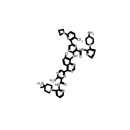 CC1(N)CCN(c2cccnc2NC(=O)c2nc(-c3ncnc4c(Nc5ncc(-c6nc(N7CCC7)ccc6C(F)(F)F)nc5C(=O)Nc5ncccc5N5CCC(N)CC5)c(Cl)ccc34)cnc2N)CC1